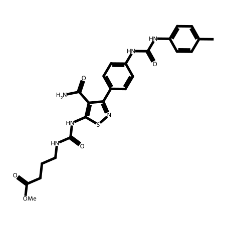 COC(=O)CCCNC(=O)Nc1snc(-c2ccc(NC(=O)Nc3ccc(C)cc3)cc2)c1C(N)=O